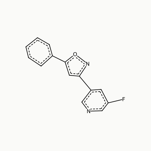 Fc1cncc(-c2cc(-c3ccccc3)on2)c1